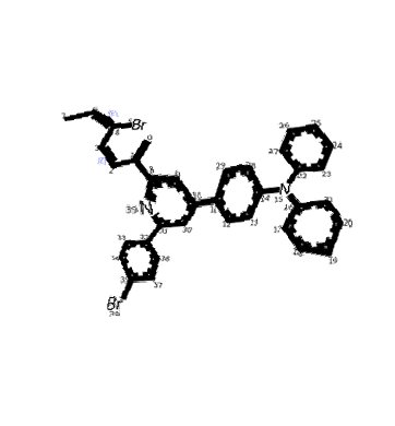 C=C(/C=C\C(Br)=C/C)c1cc(-c2ccc(N(c3ccccc3)c3ccccc3)cc2)cc(-c2ccc(Br)cc2)n1